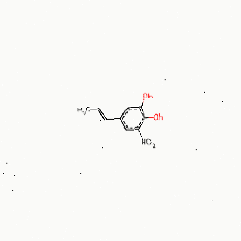 C/C=C/c1cc(O)c(O)c([N+](=O)[O-])c1